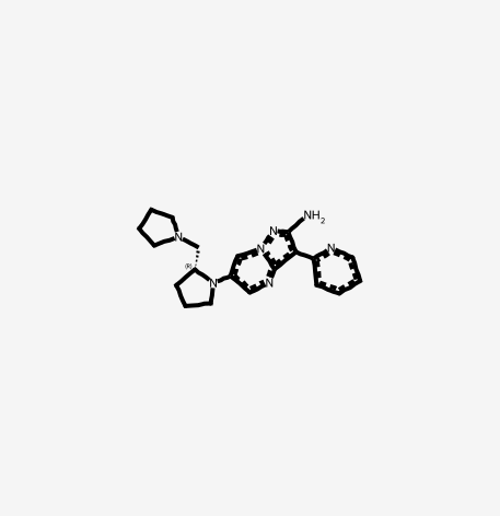 Nc1nn2cc(N3CCC[C@@H]3CN3CCCC3)cnc2c1-c1ccccn1